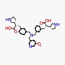 COc1cncc(CN(Cc2cccc(C[C@H](C(=O)O)[C@H]3CCNC3)c2)Cc2cccc(C[C@H](C(=O)O)[C@H]3CCNC3)c2)c1